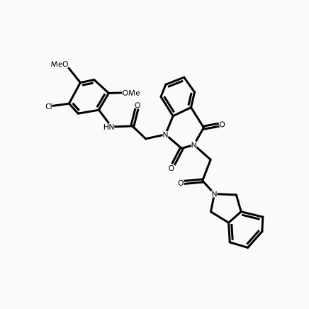 COc1cc(OC)c(NC(=O)Cn2c(=O)n(CC(=O)N3Cc4ccccc4C3)c(=O)c3ccccc32)cc1Cl